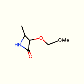 COCOC1C(=O)NC1C